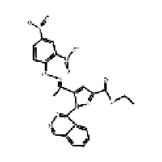 CCOC(=O)c1cc(C(C)=NNc2ccc([N+](=O)[O-])cc2[N+](=O)[O-])n(-c2nncc3ccccc23)n1